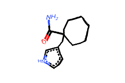 NC(=O)C1(c2cc[nH]c2)CCCCC1